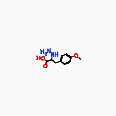 COc1ccc(CC(NN)C(=O)O)cc1